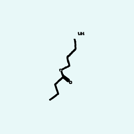 CCCCOC(=O)CCC.[LiH]